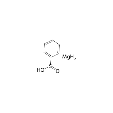 O=S(O)c1ccccc1.[MgH2]